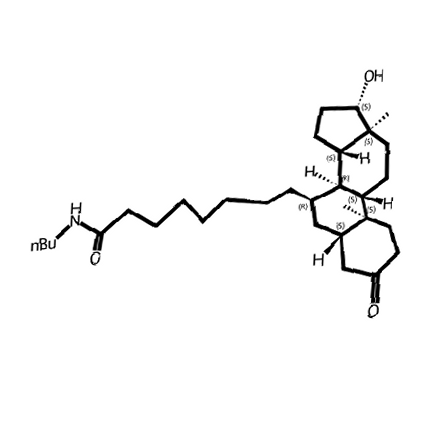 CCCCNC(=O)CCCCCCC[C@@H]1C[C@H]2CC(=O)CC[C@]2(C)[C@H]2CC[C@]3(C)[C@@H](O)CC[C@H]3[C@H]12